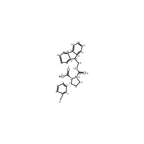 O=C(O)[C@@H]1[C@@H](c2cccc(F)c2)CCN1C(=O)OCC1c2ccccc2-c2ccccc21